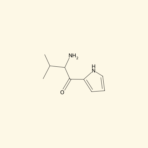 CC(C)C(N)C(=O)c1ccc[nH]1